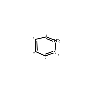 C1=CC=[N+]N=C1